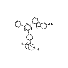 N#Cc1ccc2oc3c(-c4nc(-c5ccccc5)nc(-c5ccc(C67CC8C[C@H](C6)C[C@@H](C8)C7)cc5)n4)cccc3c2c1